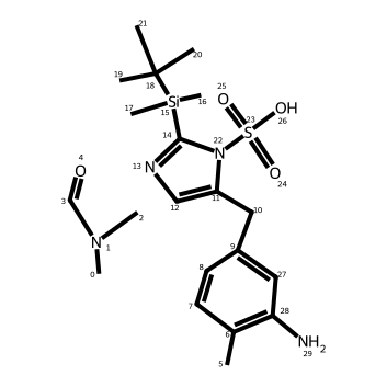 CN(C)C=O.Cc1ccc(Cc2cnc([Si](C)(C)C(C)(C)C)n2S(=O)(=O)O)cc1N